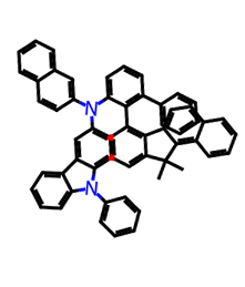 CC1(C)c2cccc(-c3c(-c4ccccc4)cccc3N(c3ccc4ccccc4c3)c3ccc4c(c3)c3ccccc3n4-c3ccccc3)c2-c2ccc3ccccc3c21